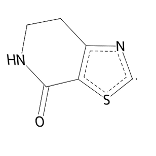 O=C1NCCc2n[c]sc21